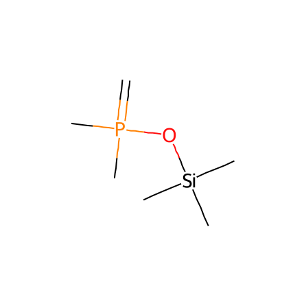 C=P(C)(C)O[Si](C)(C)C